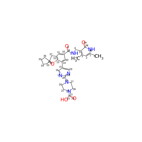 Cc1cc(C)c(CNC(=O)c2cc3c(c(-c4cnc(N5CCN(C(=O)O)CC5)nc4)c2)OC2(CCCC2)C3)c(=O)[nH]1